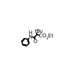 CCOC(=O)C(C(=O)Nc1ccccc1)C(C)(C)C